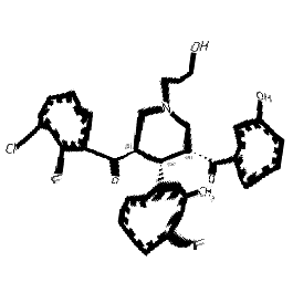 Cc1c(F)cccc1[C@H]1[C@@H](C(=O)c2cccc(O)c2)CN(CCO)C[C@@H]1C(=O)c1cccc(Cl)c1F